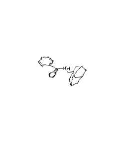 O=C(NCC12CC3CC(CC(C3)C1)C2)c1ccccc1